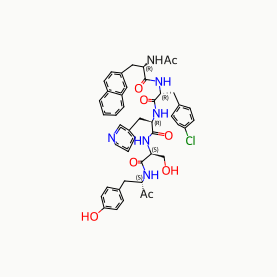 CC(=O)N[C@H](Cc1ccc2ccccc2c1)C(=O)N[C@H](Cc1ccc(Cl)cc1)C(=O)N[C@H](Cc1cccnc1)C(=O)N[C@@H](CO)C(=O)N[C@@H](Cc1ccc(O)cc1)C(C)=O